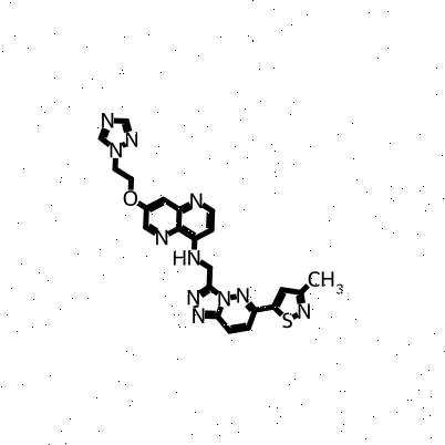 Cc1cc(-c2ccc3nnc(CNc4ccnc5cc(OCCn6cncn6)cnc45)n3n2)sn1